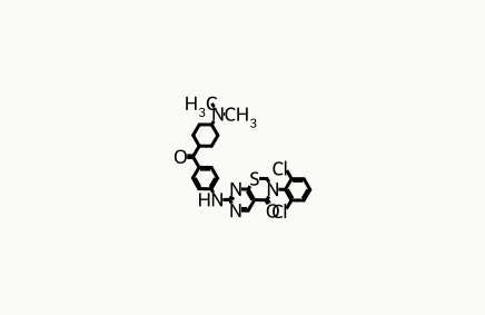 CN(C)C1CCC(C(=O)c2ccc(Nc3ncc4c(n3)SCN(c3c(Cl)cccc3Cl)C4=O)cc2)CC1